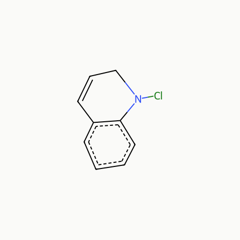 ClN1CC=Cc2ccccc21